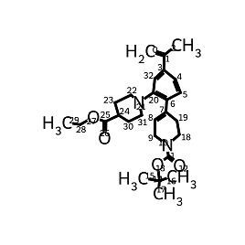 C=C(C)c1ccc(C2=CCN(C(=O)OC(C)(C)C)CC2)c(N2CCC(C(=O)OCC)CC2)c1